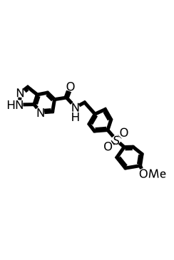 COc1ccc(S(=O)(=O)c2ccc(CNC(=O)c3cnc4[nH]ncc4c3)cc2)cc1